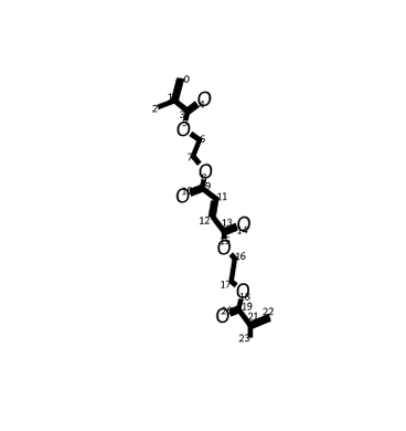 C=C(C)C(=O)OCCOC(=O)C=CC(=O)OCCOC(=O)C(=C)C